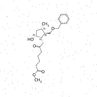 COC(=O)CCCCC(=O)C[C@H]1[C@H](COCc2ccccc2)[C@@H](C)C[C@H]1O